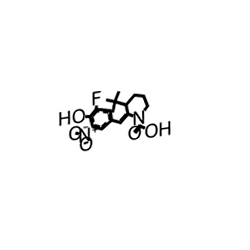 CC(C)(C)C1CCCN(C(=O)O)C1=Cc1cc(F)c(O)c([N+](=O)[O-])c1